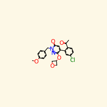 COc1ccc(Cn2nc(OC3COC3)c(-c3cc(Cl)ccc3C(C)=O)cc2=O)cc1